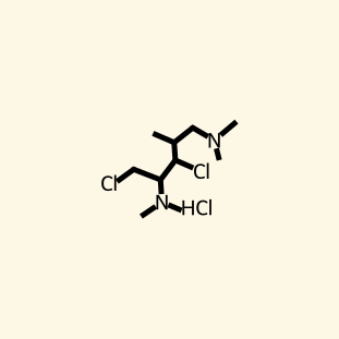 CC(CN(C)C)C(Cl)C(CCl)N(C)C.Cl